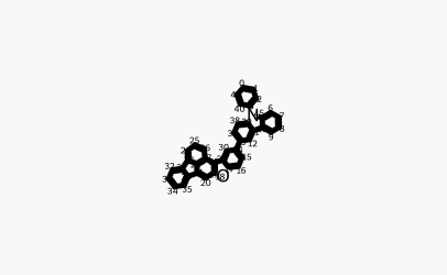 c1ccc(-n2c3ccccc3c3cc(-c4ccc5oc6cc7c8c(cccc8c6c5c4)-c4ccccc4-7)ccc32)cc1